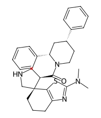 CN(C)c1nc2c(s1)[C@]1(CCC2)CNC[C@H]1C(=O)N1CC[C@@H](c2ccccc2)C[C@H]1c1ccccc1